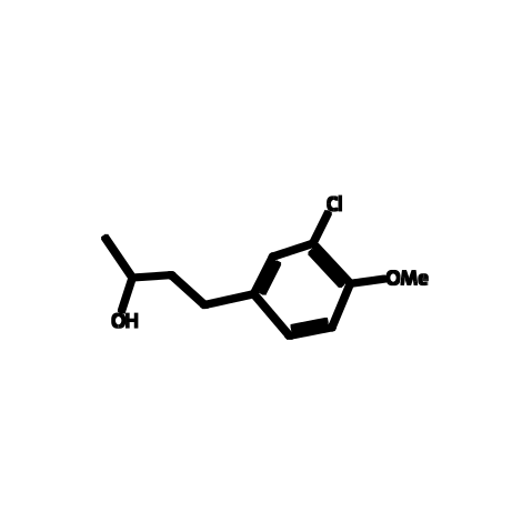 COc1ccc(CCC(C)O)cc1Cl